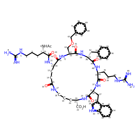 CC(=O)N[C@@H](CCCNC(=N)N)C(=O)N[C@H]1CCC(=O)NCCC[C@@H](C(=O)O)NC(=O)[C@H](Cc2c[nH]c3ccccc23)NC(=O)[C@H](CCCNC(=N)N)NC(=O)[C@@H](Cc2ccccc2)NC(=O)[C@H](COCc2ccccc2)NC1=O